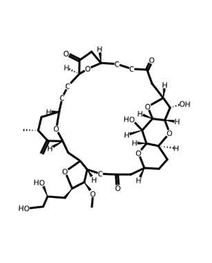 C=C1[C@H](C)C[C@@H]2CC[C@@H]3O[C@@H](CCC(=O)C[C@H]4O[C@H]5[C@@H](O)[C@H]6O[C@H](CC[C@@H]6O[C@H]5[C@H]4O)CC(=O)C[C@H]4C(C[C@H]1O2)O[C@H](C[C@H](O)CO)[C@@H]4OC)CC3=O